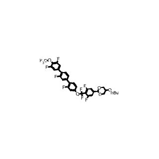 CCCCOC1COC(c2cc(F)c(C(F)(F)Oc3ccc(-c4ccc(-c5cc(F)c(OC(F)(F)F)c(F)c5)c(F)c4)c(F)c3)c(F)c2)OC1